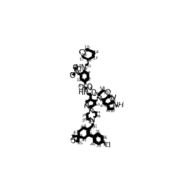 O=C(NS(=O)(=O)c1ccc(NC[C@@H]2CCCOC2)c([N+](=O)[O-])c1)c1cnc(N2CCN(CC3=C(c4ccc(Cl)cc4)CC4(CC3)COC4)CC2)cc1N1CCOc2nc3[nH]ccc3cc21